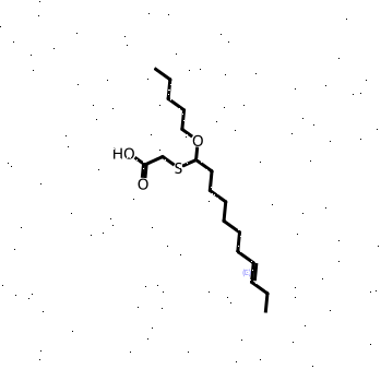 CC/C=C/CCCCCCC(OCCCCC)SCC(=O)O